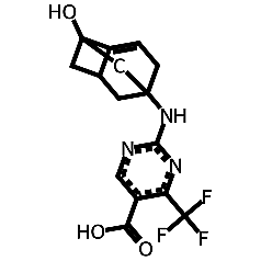 O=C(O)c1cnc(NC23CC=C4C(C2)CC4(O)C3)nc1C(F)(F)F